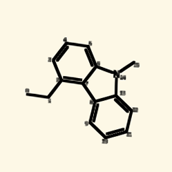 CCc1cccc2c1c1ccccc1n2C